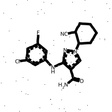 N#CC1CCCCC1n1cc(C(N)=O)c(Nc2cc(F)cc(Cl)c2)n1